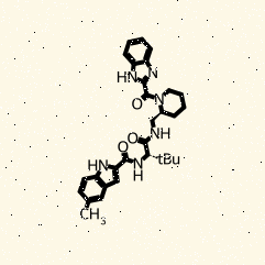 Cc1ccc2[nH]c(C(=O)N[C@H](C(=O)NC[C@@H]3CCCCN3C(=O)c3nc4ccccc4[nH]3)C(C)(C)C)cc2c1